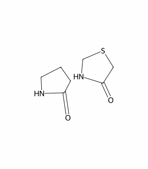 O=C1CCCN1.O=C1CSCN1